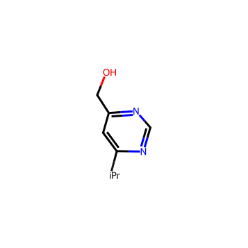 CC(C)c1cc(CO)ncn1